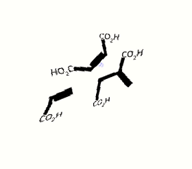 C=C(CC(=O)O)C(=O)O.C=CC(=O)O.O=C(O)/C=C\C(=O)O